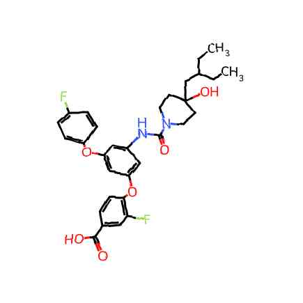 CCC(CC)CC1(O)CCN(C(=O)Nc2cc(Oc3ccc(F)cc3)cc(Oc3ccc(C(=O)O)cc3F)c2)CC1